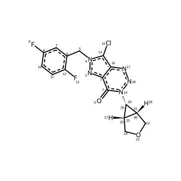 O=c1c2nn(Cc3cc(F)ccc3F)c(Cl)c2nnn1[C@@H]1[C@@H]2COC[C@@H]21